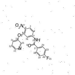 O=C(Nc1ccc([N+](=O)[O-])c(Oc2cccnc2)c1)c1ccc(F)cc1